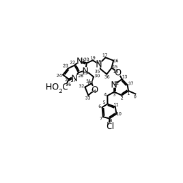 Cc1cc(Cc2ccc(Cl)cc2)nc(OC2CCN(Cc3nc4ccc(C(=O)O)nc4n3C[C@@H]3CCO3)CC2)c1